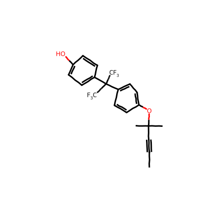 CC#CC(C)(C)Oc1ccc(C(c2ccc(O)cc2)(C(F)(F)F)C(F)(F)F)cc1